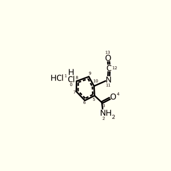 Cl.Cl.NC(=O)c1ccccc1N=C=O